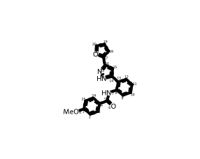 COc1ccc(C(=O)Nc2ccccc2-c2cc(-c3ccco3)n[nH]2)cc1